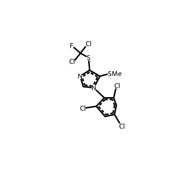 CSc1c(SC(F)(Cl)Cl)ncn1-c1c(Cl)cc(Cl)cc1Cl